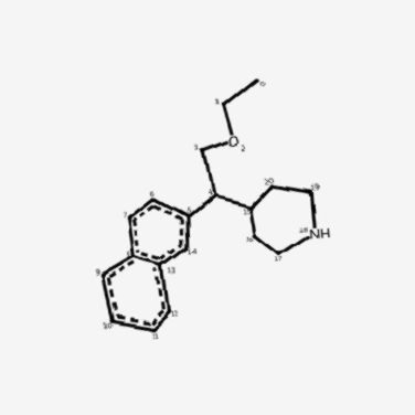 CCOCC(c1ccc2ccccc2c1)C1CCNCC1